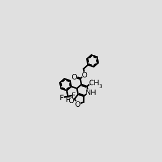 CC1=C(C(=O)OCc2ccccc2)C(c2ccccc2C(F)(F)F)C2=C(COC2=O)N1